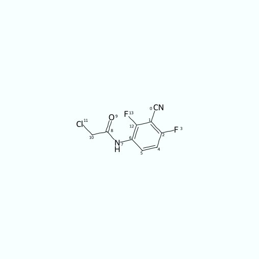 N#Cc1c(F)ccc(NC(=O)CCl)c1F